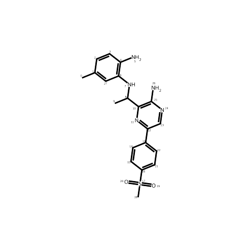 Cc1ccc(N)c(NC(C)c2nc(-c3ccc(S(C)(=O)=O)cc3)cnc2N)c1